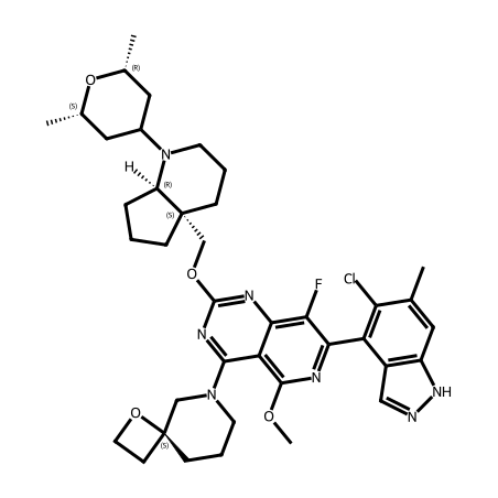 COc1nc(-c2c(Cl)c(C)cc3[nH]ncc23)c(F)c2nc(OC[C@]34CCC[C@H]3N(C3C[C@@H](C)O[C@@H](C)C3)CCC4)nc(N3CCC[C@]4(CCO4)C3)c12